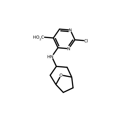 O=C(O)c1cnc(Cl)nc1NC1CC2CCC(C1)O2